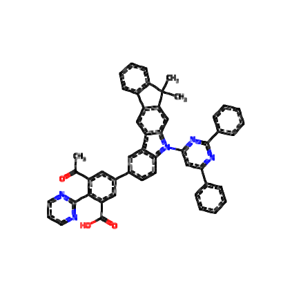 CC(=O)c1cc(-c2ccc3c(c2)c2cc4c(cc2n3-c2cc(-c3ccccc3)nc(-c3ccccc3)n2)C(C)(C)c2ccccc2-4)cc(C(=O)O)c1-c1ncccn1